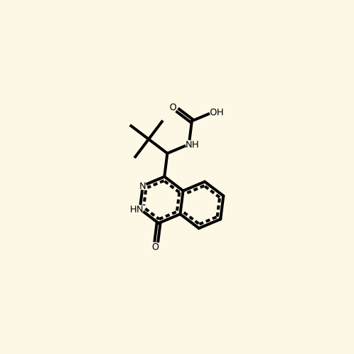 CC(C)(C)C(NC(=O)O)c1n[nH]c(=O)c2ccccc12